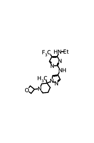 CCNc1nc(Nc2cnn(C3(C)CCCN(C4COC4)C3)c2)ncc1C(F)(F)F